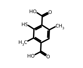 Cc1cc(C(=O)O)c(C)c(S)c1C(=O)O